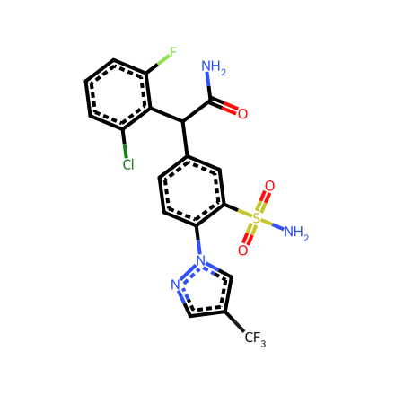 NC(=O)C(c1ccc(-n2cc(C(F)(F)F)cn2)c(S(N)(=O)=O)c1)c1c(F)cccc1Cl